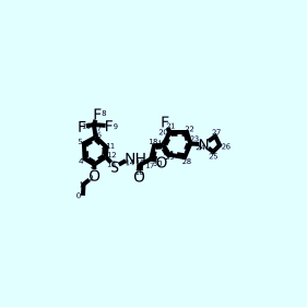 CCOc1ccc(C(F)(F)F)cc1SNC(=O)c1cc2c(F)cc(N3CCC3)cc2o1